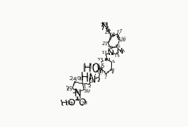 CC1(CNC[C@@]2(O)CCC[C@H](Cn3cnc4ccc(C#N)cc43)C2)CCN(C(=O)O)C1